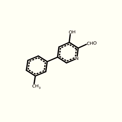 Cc1cccc(-c2cnc(C=O)c(O)c2)c1